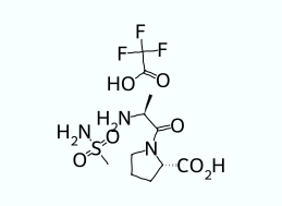 CS(N)(=O)=O.C[C@H](N)C(=O)N1CCC[C@H]1C(=O)O.O=C(O)C(F)(F)F